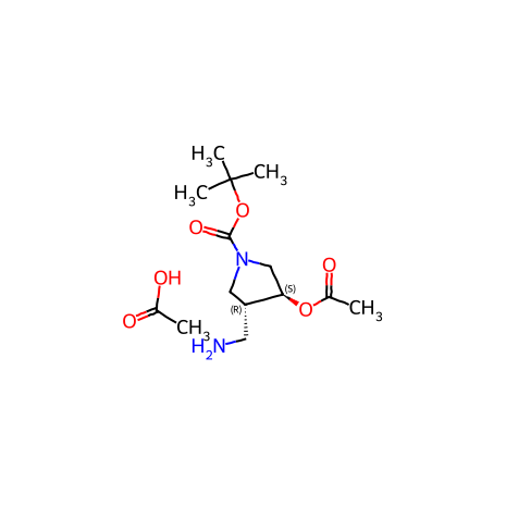 CC(=O)O.CC(=O)O[C@@H]1CN(C(=O)OC(C)(C)C)C[C@H]1CN